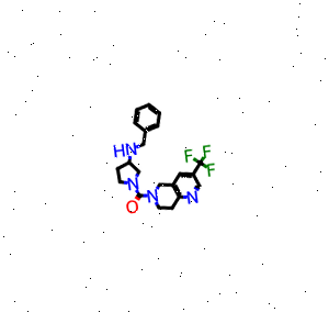 O=C(N1CCc2ncc(C(F)(F)F)cc2C1)N1CCC(NCc2ccccc2)C1